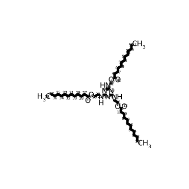 CCCCCCCCCCCCC(=O)OCCNc1nc(NCCOC(=O)CCCCCCCCCCCC)nc(NCOC(=O)CCCCCCCCCCCC)n1